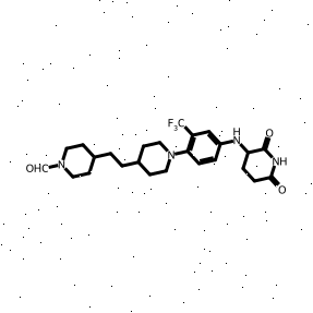 O=CN1CCC(CCC2CCN(c3ccc(NC4CCC(=O)NC4=O)cc3C(F)(F)F)CC2)CC1